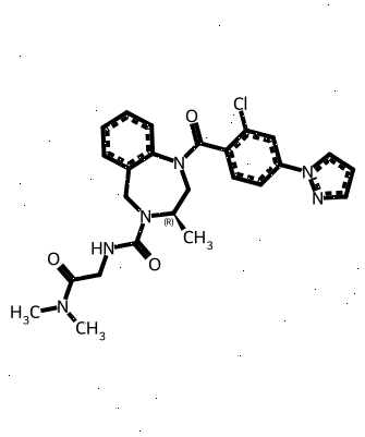 C[C@@H]1CN(C(=O)c2ccc(-n3cccn3)cc2Cl)c2ccccc2CN1C(=O)NCC(=O)N(C)C